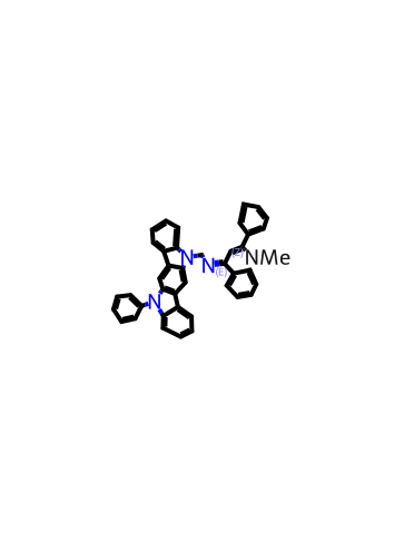 CN/C(=C\C(=N/Cn1c2ccccc2c2cc3c(cc21)c1ccccc1n3-c1ccccc1)c1ccccc1)c1ccccc1